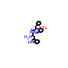 COc1ccc(Cn2c(C(N)Cc3c[nH]c4ccccc34)nnc2C(Cc2ccccc2)NC=O)cc1